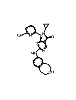 CC(C)(C)c1cccc(-n2c3nc(Nc4ccc5c(c4)CCNCC5)ncc3c(=O)n2C2CC2)n1